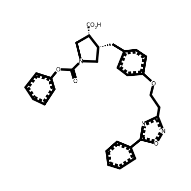 O=C(O)[C@H]1CN(C(=O)Oc2ccccc2)C[C@H]1Cc1ccc(OCCc2noc(-c3ccccc3)n2)cc1